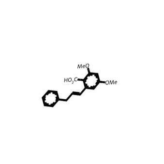 COc1cc(C=CCc2ccccc2)c(C(=O)O)c(OC)c1